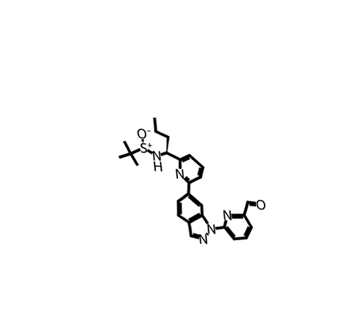 CCC[C@H](N[S@+]([O-])C(C)(C)C)c1cccc(-c2ccc3cnn(-c4cccc(C=O)n4)c3c2)n1